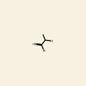 B=C(Br)C(C)CC